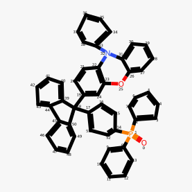 O=P(c1ccccc1)(c1ccccc1)c1ccc(C2(c3ccc4c(c3)Oc3ccccc3N4c3ccccc3)c3ccccc3-c3ccccc32)cc1